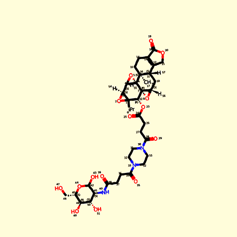 CC(C)C12O[C@H]1[C@@H]1O[C@]13[C@]1(O[C@H]1C[C@H]1C4=C(CC[C@@]13C)C(=O)OC4)[C@@H]2OC(=O)CCC(=O)N1CCN(C(=O)CCC(=O)N[C@@H]2C(O)O[C@@H](CO)[C@H](O)[C@H]2O)CC1